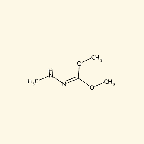 CNN=C(OC)OC